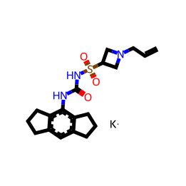 C=CCN1CC(S(=O)(=O)NC(=O)Nc2c3c(cc4c2CCC4)CCC3)C1.[K]